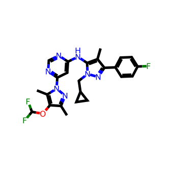 Cc1nn(-c2cc(Nc3c(C)c(-c4ccc(F)cc4)nn3CC3CC3)ncn2)c(C)c1OC(F)F